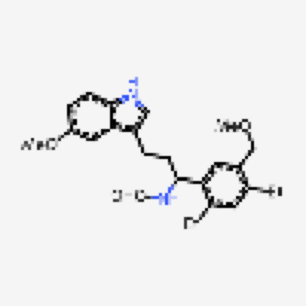 CCc1cc(CC)c(C(CCc2c[nH]c3ccc(OC)cc23)NC=O)cc1COC